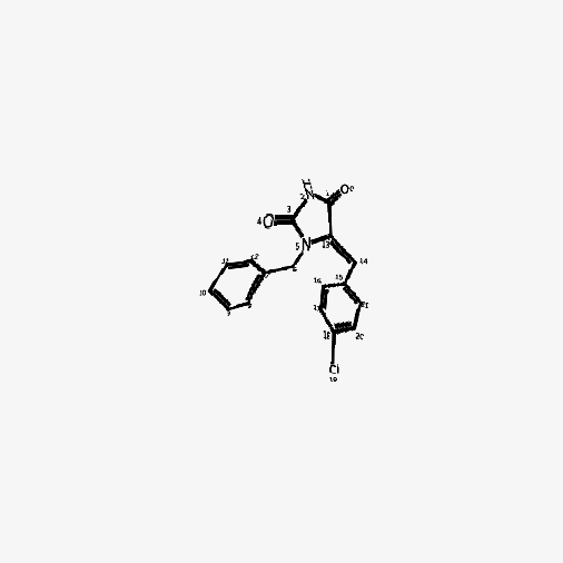 O=C1NC(=O)N(Cc2ccccc2)/C1=C\c1ccc(Cl)cc1